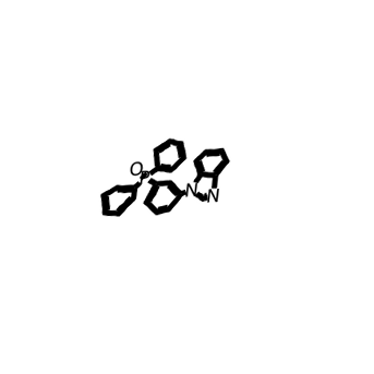 O=P(c1ccccc1)(c1ccccc1)c1cccc(-n2cnc3ccccc32)c1